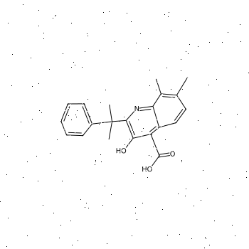 Cc1ccc2c(C(=O)O)c(O)c(C(C)(C)c3ccccc3)nc2c1C